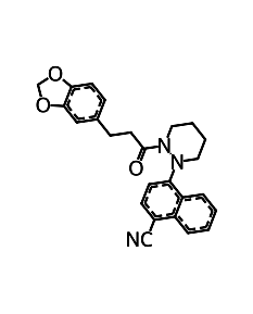 N#Cc1ccc(N2CCCCN2C(=O)CCc2ccc3c(c2)OCO3)c2ccccc12